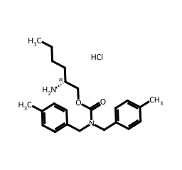 CCCC[C@@H](N)COC(=O)N(Cc1ccc(C)cc1)Cc1ccc(C)cc1.Cl